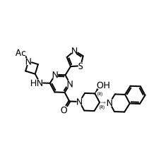 CC(=O)N1CC(Nc2cc(C(=O)N3CC[C@@H](N4CCc5ccccc5C4)[C@H](O)C3)nc(-c3cncs3)n2)C1